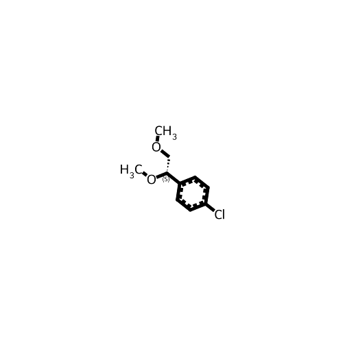 COC[C@@H](OC)c1ccc(Cl)cc1